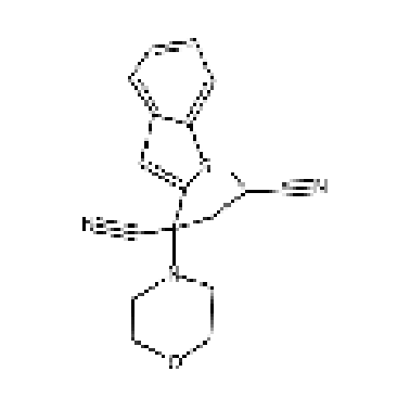 CC(C#N)CC(C#N)(c1cc2ccccc2s1)N1CCOCC1